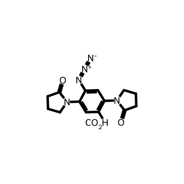 [N-]=[N+]=Nc1cc(N2CCCC2=O)c(C(=O)O)cc1N1CCCC1=O